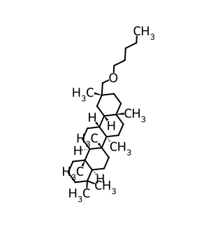 CCCCCOC[C@]1(C)CC[C@]2(C)CC[C@]3(C)[C@H](CC[C@@H]4[C@@]5(C)CCCC(C)(C)[C@@H]5CC[C@]43C)[C@@H]2C1